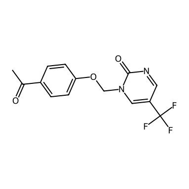 CC(=O)c1ccc(OCn2cc(C(F)(F)F)cnc2=O)cc1